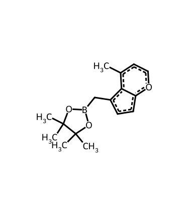 Cc1ccoc2ccc(CB3OC(C)(C)C(C)(C)O3)c1-2